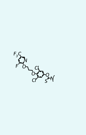 CN(C)C(=S)Oc1cc(Cl)c(OCCCOc2ncc(C(F)(F)F)cc2F)c(Cl)c1